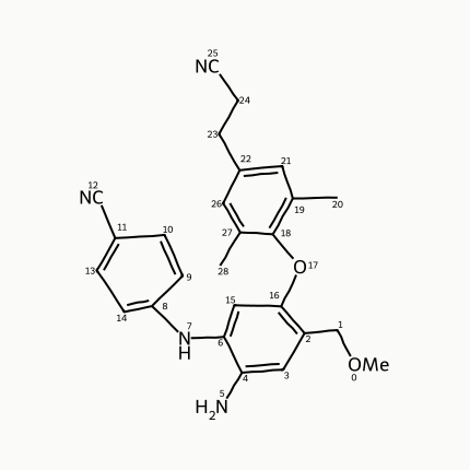 COCc1cc(N)c(Nc2ccc(C#N)cc2)cc1Oc1c(C)cc(CCC#N)cc1C